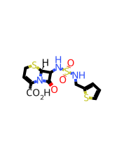 O=C(O)C1=CCS[C@H]2C(NS(=O)(=O)NCc3cccs3)C(=O)N12